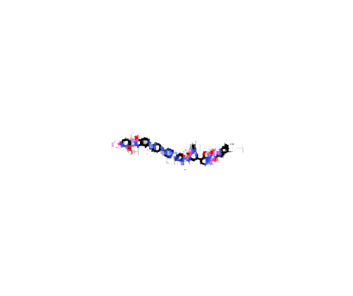 [2H]C([2H])([2H])n1cc(-c2ccnc(N3CCn4c(cc5c4CC(C)(C)C5)C3=O)c2CO)cc(Nc2ccc(N3CCN([C@H]4CCN(c5ccc6c(c5)CN([C@H]5CCC(=O)NC5=O)C6=O)[C@H](C)C4)C[C@@H]3C)cn2)c1=O